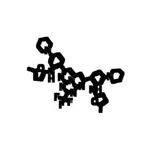 Cc1ccc(Nc2cc(N3CCCCC3)ccc2C2=CC3=CC(c4ccc(N5CCCCC5)cc4Nc4ccc(C)o4)=NC4=NC(C(F)(F)F)=NC(=N2)N34)o1